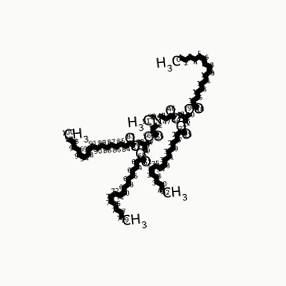 CCCCC/C=C\C/C=C\CCCCCCCC(=O)OCC(COC(=O)CCCCCCC/C=C\C/C=C\CCCCC)COC(=O)CCN(CC)CCC(=O)OCC(COC(=O)CCCCCCC/C=C\C/C=C\CCCCC)COC(=O)CCCCCCC/C=C\C/C=C\CCCCC